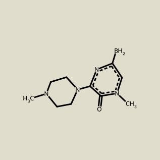 Bc1cn(C)c(=O)c(N2CCN(C)CC2)n1